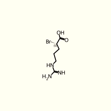 N=C(N)NCCC[C@H](Br)C(=O)O